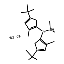 CC1=[C]([Zr]([C]2=C(C)C=C(C(C)(C)C)C2)[SiH](C)C)CC(C(C)(C)C)=C1.Cl.Cl